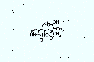 CC(C(=O)O)[C@](C)(Cc1cc(Cl)c2[nH]ncc2c1CCl)C(=O)O